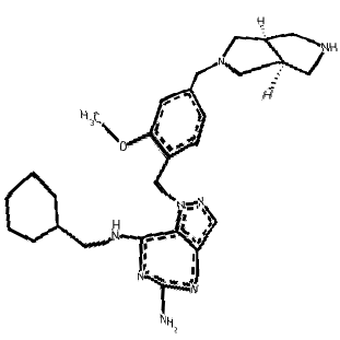 COc1cc(CN2C[C@H]3CNC[C@H]3C2)ccc1Cn1ncc2nc(N)nc(NCC3CCCCC3)c21